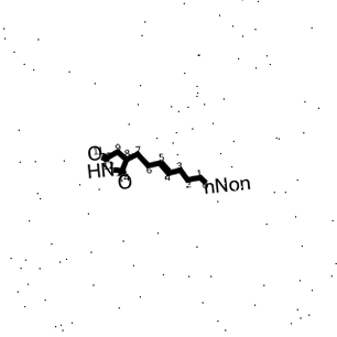 CCCCCCCCCCCCC=CCCC1CC(=O)NC1=O